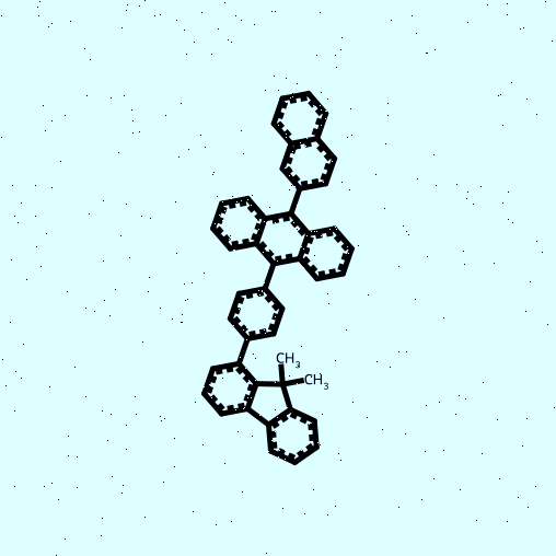 CC1(C)c2ccccc2-c2cccc(-c3ccc(-c4c5ccccc5c(-c5ccc6ccccc6c5)c5ccccc45)cc3)c21